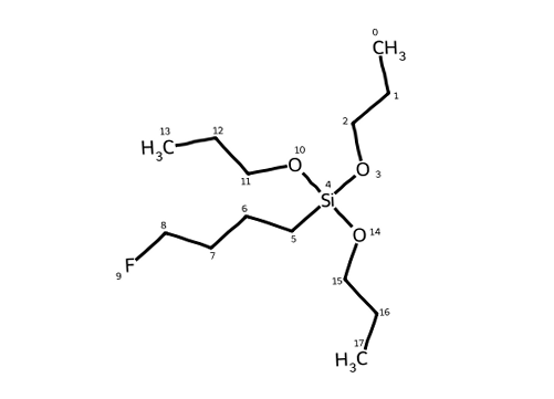 CCCO[Si](CCCCF)(OCCC)OCCC